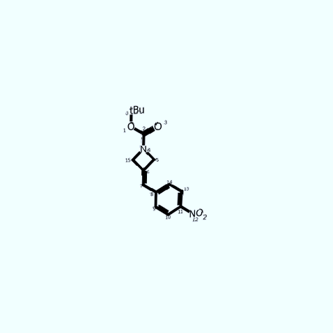 CC(C)(C)OC(=O)N1CC(=Cc2ccc([N+](=O)[O-])cc2)C1